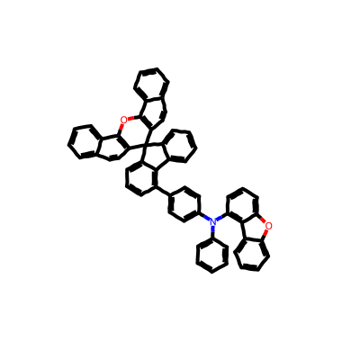 c1ccc(N(c2ccc(-c3cccc4c3-c3ccccc3C43c4ccc5ccccc5c4Oc4c3ccc3ccccc43)cc2)c2cccc3oc4ccccc4c23)cc1